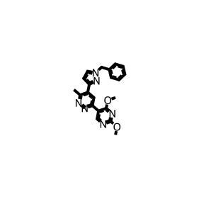 COc1ncc(-c2cc(-c3ccn(Cc4ccccc4)n3)c(C)nn2)c(OC)n1